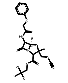 CC1(CSC#N)S[C@@H]2C(NC(=O)COc3ccccc3)C(=O)N2C1C(=O)OCC(Cl)(Cl)Cl